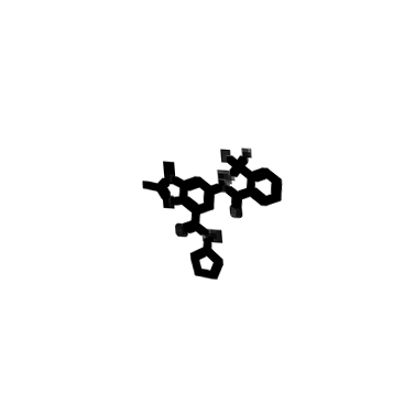 Cc1nc2c(C(=O)NC3CCCC3)cc(NC(=O)c3ccccc3C(F)(F)F)cc2[nH]1